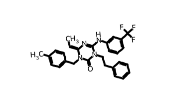 CC=C1N=C(Nc2cccc(C(F)(F)F)c2)N(CCc2ccccc2)C(=O)N1Cc1ccc(C)cc1